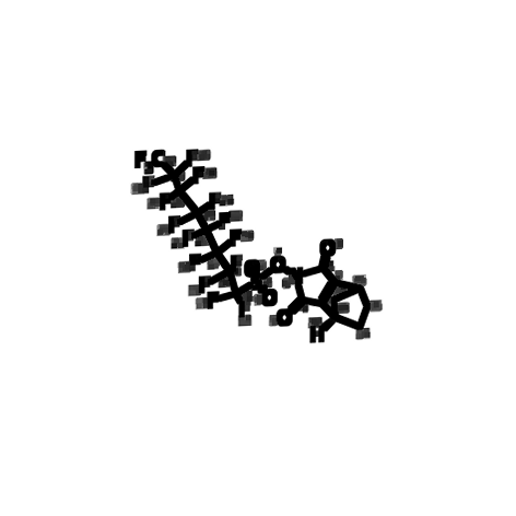 O=C1C2=C(C(=O)N1OS(=O)(=O)C(F)(F)C(F)(F)C(F)(F)C(F)(F)C(F)(F)C(F)(F)C(F)(F)C(F)(F)F)[C@H]1CCC2C1